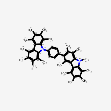 Cc1c(C)c(C)c2c(c1C)c1c(C)c(-c3ccc(-n4c5c(C)c(C)c(C)c(C)c5c5c(C)c(C)c(C)c(C)c54)cc3)c(C)c(C)c1n2C